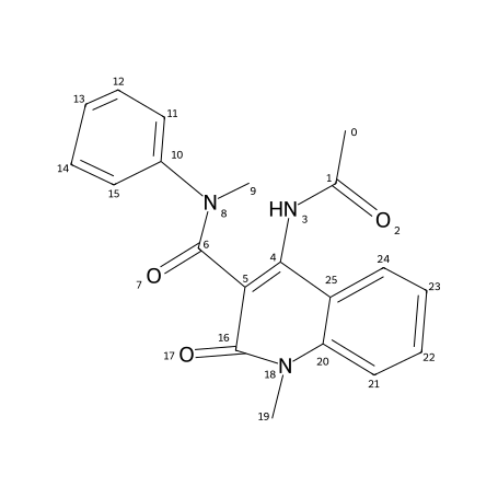 CC(=O)Nc1c(C(=O)N(C)c2ccccc2)c(=O)n(C)c2ccccc12